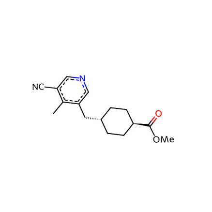 COC(=O)[C@H]1CC[C@H](Cc2cncc(C#N)c2C)CC1